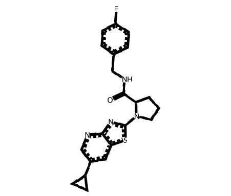 O=C(NCc1ccc(F)cc1)C1CCCN1c1nc2ncc(C3CC3)cc2s1